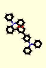 c1ccc(N(c2ccccc2)c2ccc(-c3cccc(-c4ccccc4N(c4ccccc4)c4ccccc4)c3)cc2)cc1